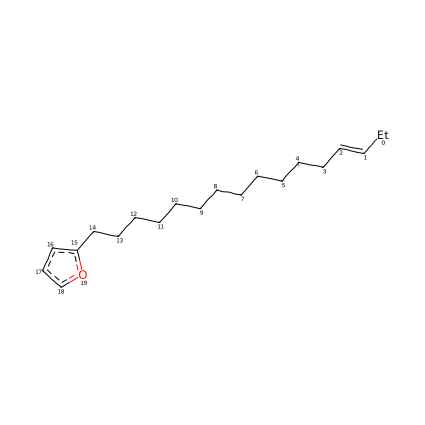 CCC=CC[CH]CCCCCCCCCCc1ccco1